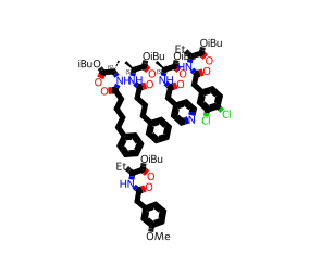 CC(C)COC(=O)[C@H](C)NC(=O)CCCCc1ccccc1.CC(C)COC(=O)[C@H](C)NC(=O)CCCc1ccccc1.CC(C)COC(=O)[C@H](C)NC(=O)Cc1ccncc1.CCC(NC(=O)Cc1ccc(Cl)c(Cl)c1)C(=O)OCC(C)C.CCC(NC(=O)Cc1cccc(OC)c1)C(=O)OCC(C)C